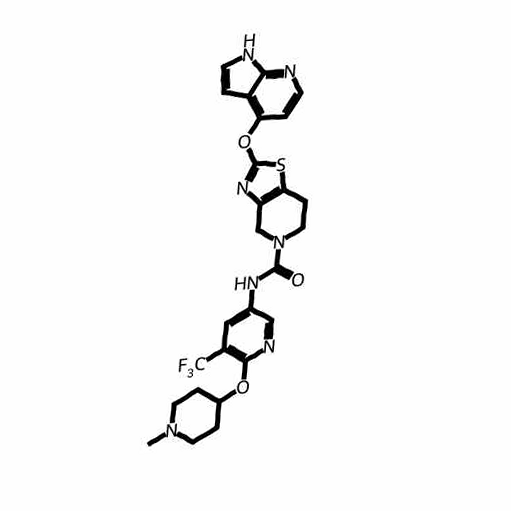 CN1CCC(Oc2ncc(NC(=O)N3CCc4sc(Oc5ccnc6[nH]ccc56)nc4C3)cc2C(F)(F)F)CC1